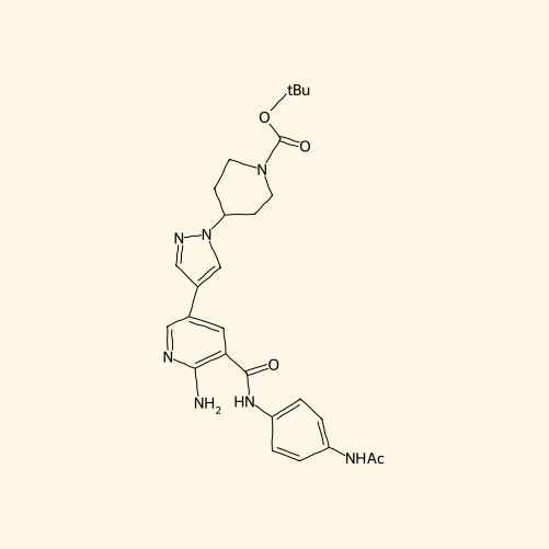 CC(=O)Nc1ccc(NC(=O)c2cc(-c3cnn(C4CCN(C(=O)OC(C)(C)C)CC4)c3)cnc2N)cc1